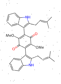 COC1=C(c2c(CC=C(C)C)[nH]c3ccccc23)C(=O)C(OC)=C(c2c(CC=C(C)C)[nH]c3ccccc23)C1=O